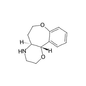 c1ccc2c(c1)OCC[C@@H]1NCCO[C@@H]21